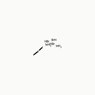 Br.Br.Br.I[I-]I.[InH3].[InH3]